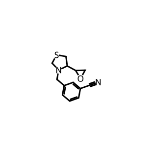 N#Cc1cccc(CN2CSCC2C2CO2)c1